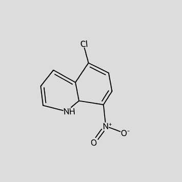 O=[N+]([O-])C1=CC=C(Cl)C2=CC=CNC21